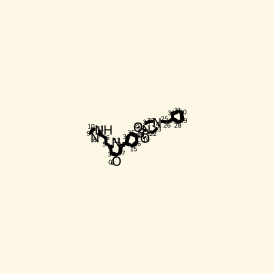 COc1cc(CCc2ncc[nH]2)nc(-c2ccc(S(=O)(=O)N3CCN(CCc4ccccc4)CC3)cc2)c1